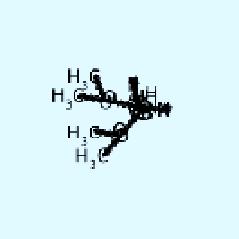 CCCCCCCCC(CCCCCCCC)OC(=O)CCCCCCCOC(=O)C(OC(=S)NCCCN1CCC1)C(OC(=S)NCCCN1CCC1)C(=O)OCCCCCCCC(=O)OC(CCCCCCCC)CCCCCCCC